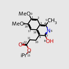 COc1cc2c(C)nc(O)c(CCC(=O)OC(C)C)c2cc1OC